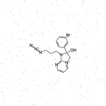 [Br-].[N-]=[N+]=NCCCN1c2nccc[n+]2CC1(O)c1ccccc1